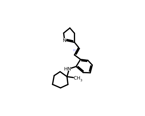 CC1(Nc2ccccc2/C=C/C2=NCCC2)CCCCC1